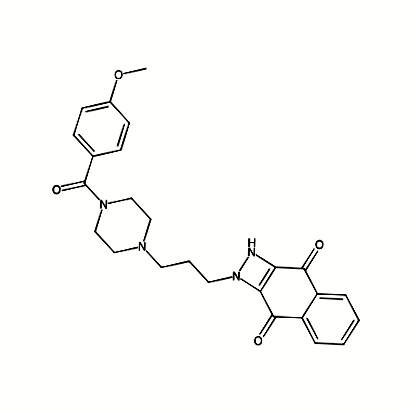 COc1ccc(C(=O)N2CCN(CCCn3[nH]c4c3C(=O)c3ccccc3C4=O)CC2)cc1